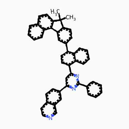 CC1(C)c2ccc(-c3ccc(-c4cc(-c5ccc6ccncc6c5)nc(-c5ccccc5)n4)c4ccccc34)cc2-c2c1ccc1ccccc21